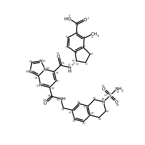 Cc1c(C(=O)O)ccc2c1CC[C@@H]2NC(=O)c1cc(C(=O)NCc2ccc3c(c2)CN(S(N)(=O)=O)CC3)nc2ncnn12